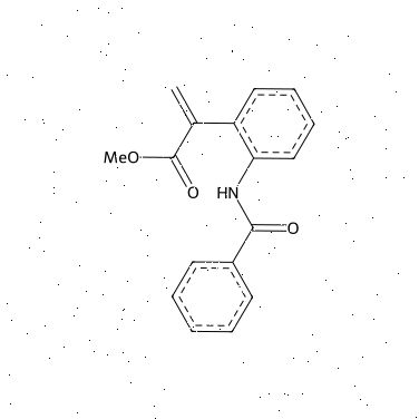 C=C(C(=O)OC)c1ccccc1NC(=O)c1ccccc1